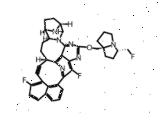 FC[C@@H]1CC[C@]2(COc3nc4c5c6nc(c(F)c5n3)-c3cccc5ccc(F)c(c35)C#C[C@@H]6CC[C@@H]3[C@@H]5CC[C@H](CN43)N5)CCCN12